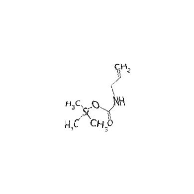 C=CCNC(=O)O[Si](C)(C)C